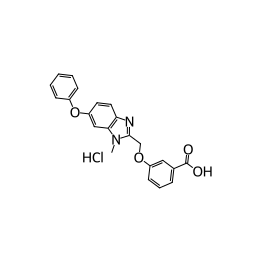 Cl.Cn1c(COc2cccc(C(=O)O)c2)nc2ccc(Oc3ccccc3)cc21